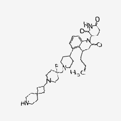 CCCC1CC(=O)N(C2CCC(=O)NC2=O)c2cccc(C3CCN(CC4(F)CCN(C5CC6(CCNCC6)C5)CC4)CC3)c21